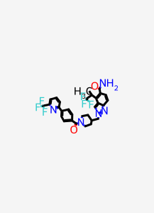 CC(c1c(C(N)=O)ccc2nn(CC3CCN(C(=O)c4ccc(-c5cccc(C(F)(F)F)n5)cc4)CC3)cc12)C(F)(F)F